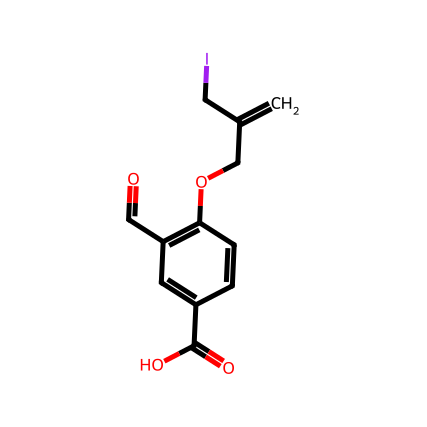 C=C(CI)COc1ccc(C(=O)O)cc1C=O